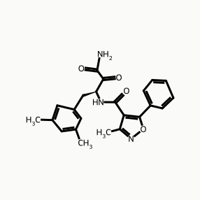 Cc1cc(C)cc(C[C@H](NC(=O)c2c(C)noc2-c2ccccc2)C(=O)C(N)=O)c1